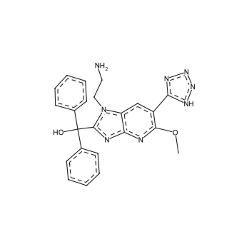 COc1nc2nc(C(O)(c3ccccc3)c3ccccc3)n(CCN)c2cc1-c1nnn[nH]1